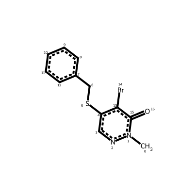 Cn1ncc(SCc2ccccc2)c(Br)c1=O